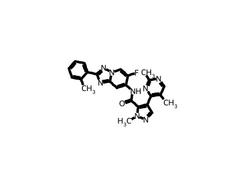 Cc1ncc(C)c(-c2cnn(C)c2C(=O)Nc2cc3nc(-c4ccccc4C)nn3cc2F)n1